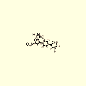 NC(=O)c1oc([N+](=O)[O-])cc1-c1ccc(C2CNCCO2)cc1